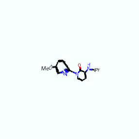 COc1ccc(-n2cccc(NC(C)C)c2=O)nc1